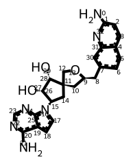 Nc1ccc2ccc(C[C@H]3C[C@@]4(CO3)C[C@@H](n3ccc5c(N)ncnc53)[C@H](O)[C@@H]4O)cc2n1